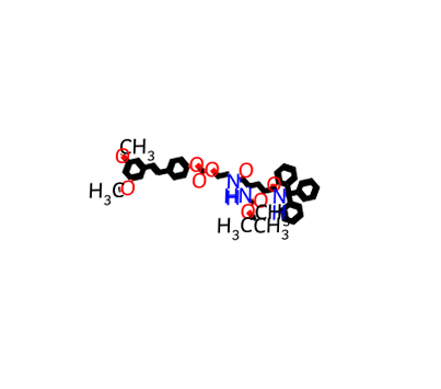 COc1cc(C=Cc2ccc(OC(=O)OCCNC(=O)C(CCC(=O)NC(c3ccccc3)(c3ccccc3)c3ccccc3)NC(=O)OC(C)(C)C)cc2)cc(OC)c1